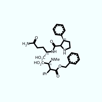 CN[C@H](C(=O)O)C(C(=O)OCc1ccccc1)C(C)C.NC(=O)CC[C@H](NC(=O)C1NCC[C@@H]1c1ccccc1)C(=O)O